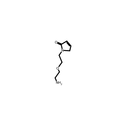 NCCOCCN1CC=CC1=O